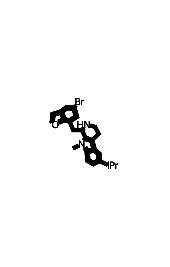 CC(C)c1ccc2c(c1)c1c(n2C)C(Cc2cc(Br)cc3ccoc23)NCC1